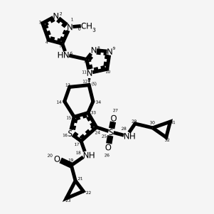 Cn1nccc1Nc1nncn1[C@H]1CCc2sc(NC(=O)C3CC3)c(S(=O)(=O)NCC3CC3)c2C1